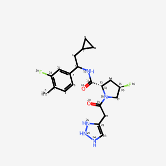 CC(C)c1ccc(C(CC2CC2)NC(=O)[C@@H]2C[C@@H](F)CN2C(=O)CC2=CNNN2)cc1F